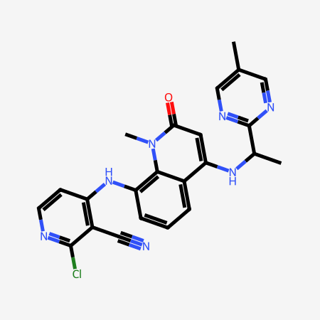 Cc1cnc(C(C)Nc2cc(=O)n(C)c3c(Nc4ccnc(Cl)c4C#N)cccc23)nc1